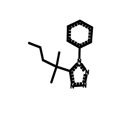 CCCC(C)(C)c1nnnn1-c1ccccc1